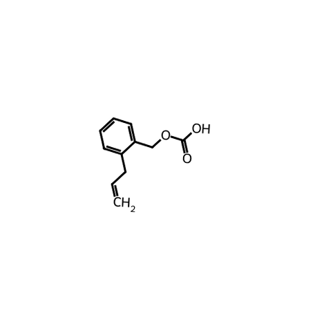 C=CCc1ccccc1COC(=O)O